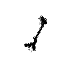 NC(=O)C1CCN(c2cc(CN3CCN(C(=O)CCOCCOCCOCCOCCOCCNc4cccc5c4C(=O)N(C4CCC(=O)NC4=O)C5=O)CC3)ccc2NC(=O)c2coc(N3CCOCC3)n2)CC1